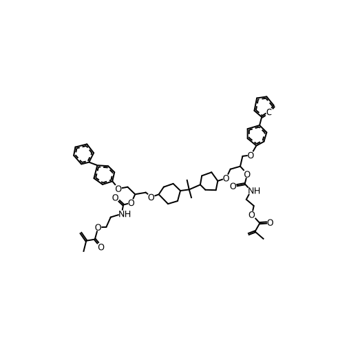 C=C(C)C(=O)OCCNC(=O)OC(COc1ccc(-c2ccccc2)cc1)COC1CCC(C(C)(C)C2CCC(OCC(COc3ccc(-c4ccccc4)cc3)OC(=O)NCCOC(=O)C(=C)C)CC2)CC1